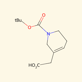 CC(C)(C)OC(=O)N1CCC=C(CC(=O)O)C1